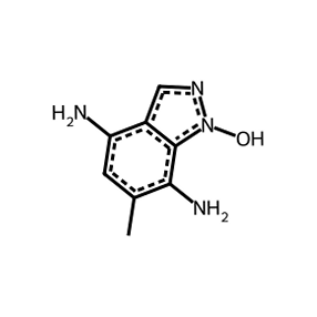 Cc1cc(N)c2cnn(O)c2c1N